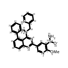 COc1ncc(-c2nc(N(N)Cc3ccccn3)c3c(-c4ccccc4)cccc3n2)cc1[S+](N)[O-]